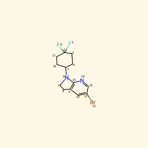 FC1(F)CCC(N2CCc3cc(Br)cnc32)CC1